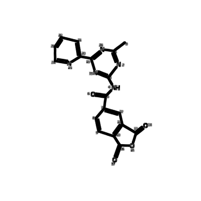 Cc1nc(NC(=O)c2ccc3c(c2)C(=O)OC3=O)nc(-c2ccccn2)n1